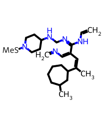 C=CNC(=N/CNC1CCN(SC)CC1)/C(=C\N=C)/C=C(/C)C1CCCCC(C)C1